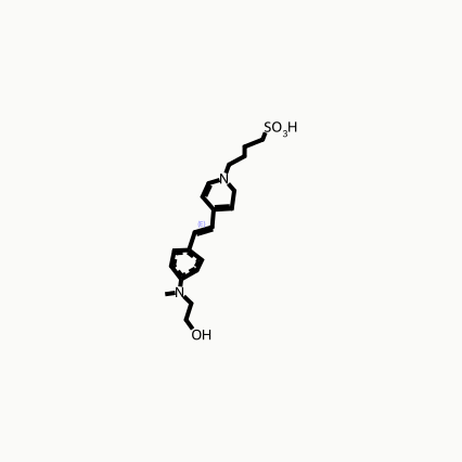 CN(CCO)c1ccc(/C=C/C2=CCN(CCCCS(=O)(=O)O)C=C2)cc1